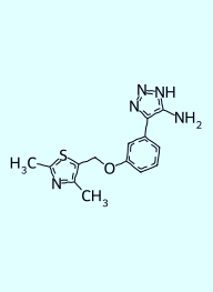 Cc1nc(C)c(COc2cccc(-c3nn[nH]c3N)c2)s1